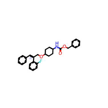 O=C(NC1CCC(OC/C(=C/c2ccccc2)c2ccccc2F)CC1)OCc1ccccc1